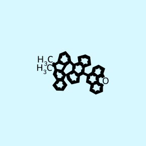 CC1(C)c2cc3ccccc3cc2-c2c(-c3c4ccccc4c(-c4cc5cccc6oc7cccc4c7c56)c4ccccc34)cccc21